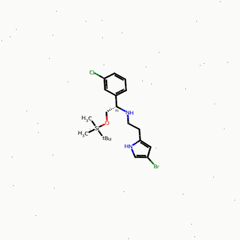 CC(C)(C)[Si](C)(C)OC[C@@H](NCCc1cc(Br)c[nH]1)c1cccc(Cl)c1